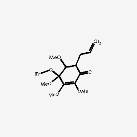 C=CCC1C(=O)C(OC)=C(OC)C(OC)(OC(C)C)C1OC